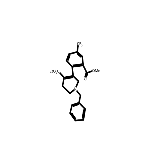 CCOC(=O)C1=C(c2ccc(C(F)(F)F)cc2C(=O)OC)CN(Cc2ccccc2)CC1